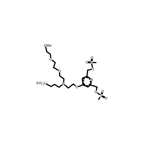 CCOC(=O)CCCN(CCOCCOCCOC)CCOc1cc(COS(C)(=O)=O)nc(COS(C)(=O)=O)c1